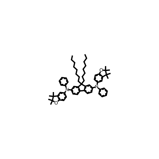 CCCCCCCCC1(CCCCCCCC)c2cc(N(c3ccccc3)c3ccc4c(c3)C(C)(C)C(C)(C)O4)ccc2-c2ccc(N(c3ccccc3)c3ccc4c(c3)C(C)(C)C(C)(C)O4)cc21